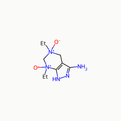 CC[N+]1([O-])Cc2c(N)n[nH]c2[N+]([O-])(CC)C1